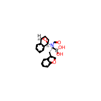 O=CN([C@@H](Cc1coc2ccccc12)B(O)O)[C@@]12CC[C@@H](O1)c1ccccc12